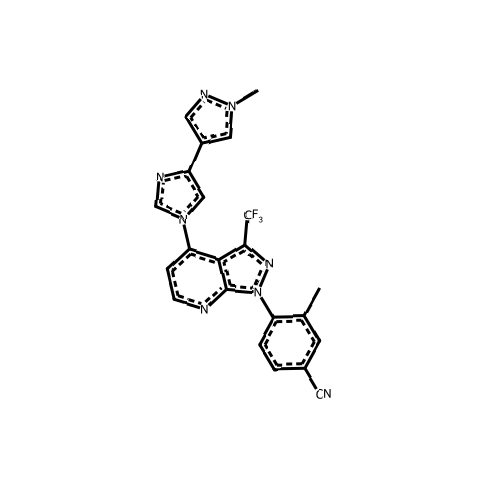 Cc1cc(C#N)ccc1-n1nc(C(F)(F)F)c2c(-n3cnc(-c4cnn(C)c4)c3)ccnc21